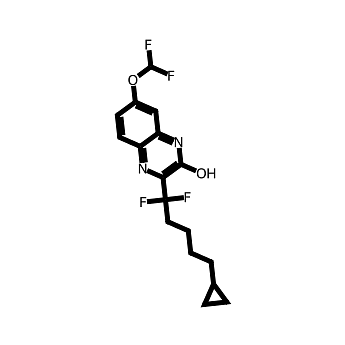 Oc1nc2cc(OC(F)F)ccc2nc1C(F)(F)CCCCC1CC1